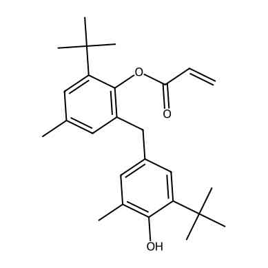 C=CC(=O)Oc1c(Cc2cc(C)c(O)c(C(C)(C)C)c2)cc(C)cc1C(C)(C)C